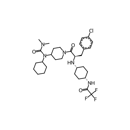 CN(C)C(=O)N(C1CCCCC1)C1CCN(C(=O)[C@@H](Cc2ccc(Cl)cc2)N[C@H]2CC[C@@H](NC(=O)C(F)(F)F)CC2)CC1